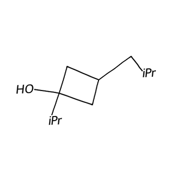 CC(C)CC1CC(O)(C(C)C)C1